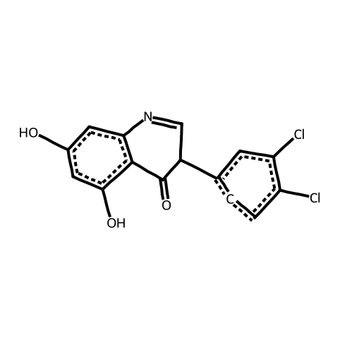 O=C1c2c(O)cc(O)cc2N=CC1c1ccc(Cl)c(Cl)c1